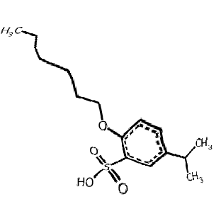 CCCCCCOc1ccc(C(C)C)cc1S(=O)(=O)O